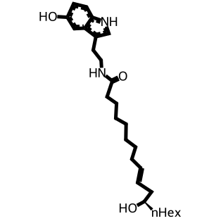 CCCCCC[C@@H](O)C/C=C/CCCCCCCC(=O)NCCc1c[nH]c2ccc(O)cc12